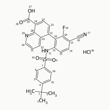 CC(C)(C)c1ccc(S(=O)(=O)Nc2ccc(C#N)c(F)c2-c2ccc(C(=O)O)c3ncccc23)cc1.Cl